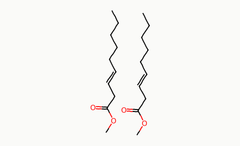 CCCCCC=CCC(=O)OC.CCCCCC=CCC(=O)OC